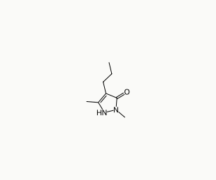 CCCc1c(C)[nH]n(C)c1=O